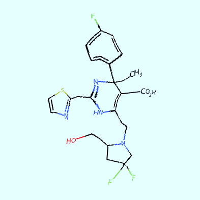 CC1(c2ccc(F)cc2)N=C(c2nccs2)NC(CN2CC(F)(F)CC2CO)=C1C(=O)O